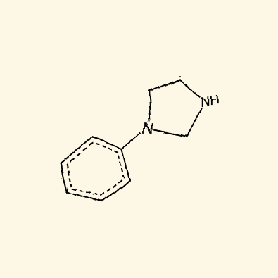 [CH]1CN(c2ccccc2)CN1